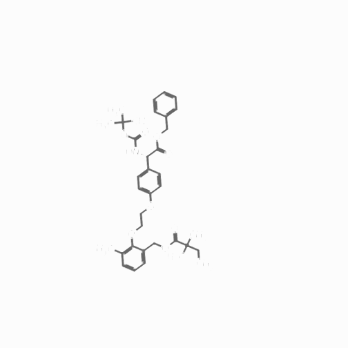 CCC(C)(C)C(=O)OCc1cccc(C)c1OCCOc1ccc([C@H](NC(=O)OC(C)(C)C)C(=O)OCc2ccccc2)cc1